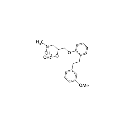 COc1cccc(CCc2ccccc2OCC(CN(C)C)OC=O)c1